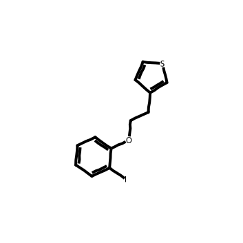 Ic1ccccc1OCCc1ccsc1